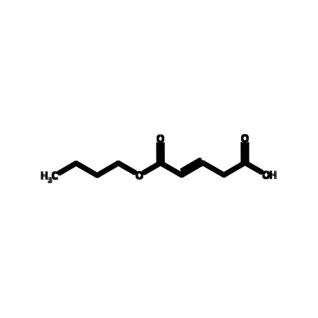 CCCCOC(=O)C=CCC(=O)O